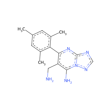 Cc1cc(C)c(-c2nc3ncnn3c(N)c2CN)c(C)c1